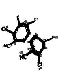 Cc1c(F)ccc(C#N)c1Cl.N#Cc1ccc(F)cc1Cl